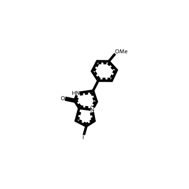 COc1ccc(-c2cn3cc(I)cc3c(=O)[nH]2)cc1